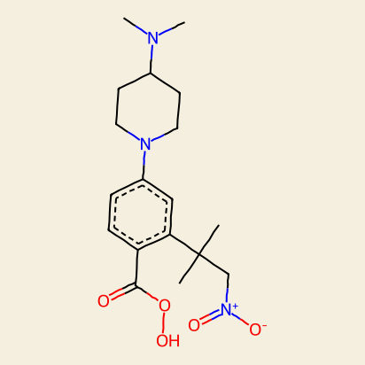 CN(C)C1CCN(c2ccc(C(=O)OO)c(C(C)(C)C[N+](=O)[O-])c2)CC1